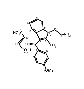 COc1ccc(C(=O)c2c(C)n(CCN)c3ccccc23)cc1.O=C(O)C=CC(=O)O